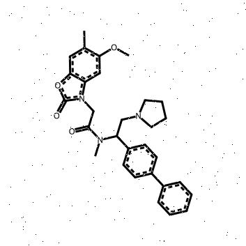 COc1cc2c(cc1C)oc(=O)n2CC(=O)N(C)C(CN1CCCC1)c1ccc(-c2ccccc2)cc1